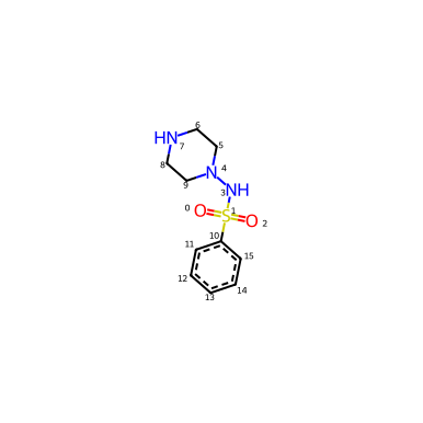 O=S(=O)(NN1CCNCC1)c1ccccc1